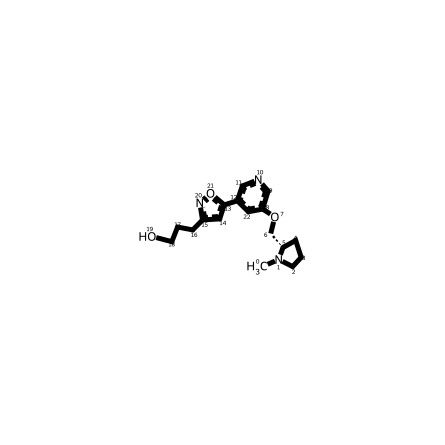 CN1CCC[C@H]1COc1cncc(-c2cc(CCCO)no2)c1